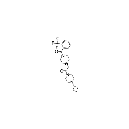 O=C(CN1CCN(C(=O)c2ccccc2C(F)(F)F)CC1)N1CCN(C2CCC2)CC1